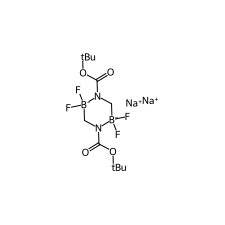 CC(C)(C)OC(=O)N1C[B-](F)(F)N(C(=O)OC(C)(C)C)C[B-]1(F)F.[Na+].[Na+]